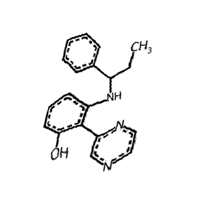 CCC(Nc1cccc(O)c1-c1cnccn1)c1ccccc1